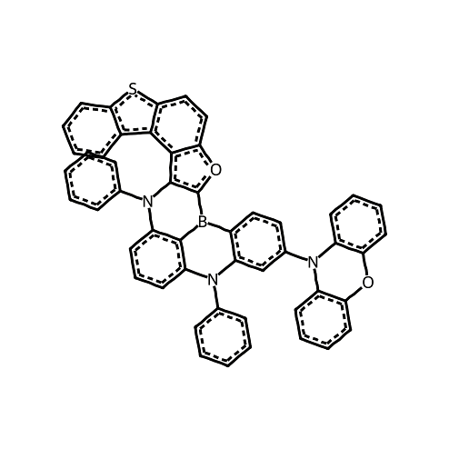 c1ccc(N2c3cc(N4c5ccccc5Oc5ccccc54)ccc3B3c4oc5ccc6sc7ccccc7c6c5c4N(c4ccccc4)c4cccc2c43)cc1